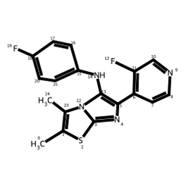 Cc1sc2nc(-c3ccncc3F)c(Nc3ccc(F)cc3)n2c1C